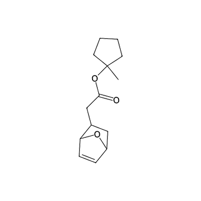 CC1(OC(=O)CC2CC3C=CC2O3)CCCC1